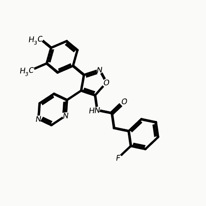 Cc1ccc(-c2noc(NC(=O)Cc3ccccc3F)c2-c2ccncn2)cc1C